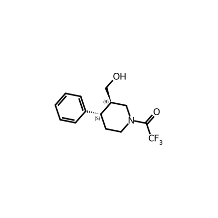 O=C(N1CC[C@H](c2ccccc2)[C@@H](CO)C1)C(F)(F)F